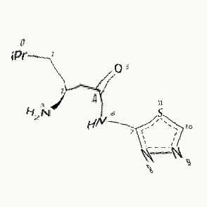 CC(C)C[C@H](N)C(=O)Nc1nncs1